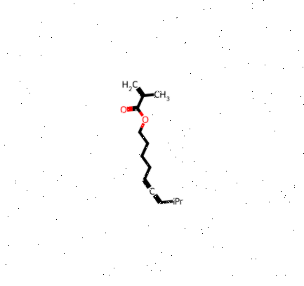 C=C(C)C(=O)OCCCCC=C=CC(C)C